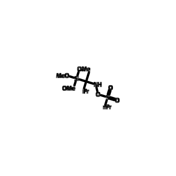 CCCS(=O)(=O)ONC(C)(C(C)C)[Si](OC)(OC)OC